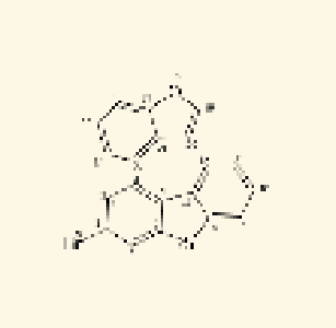 Brc1ccc2c(c1)sc1ccccc12.c1ccc2occc2c1